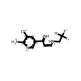 N=C(/C=C\NCC(F)(F)F)c1cnc(N)c(Cl)c1